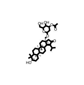 CC(=O)OC1CC(OC[C@@]23CC[C@]4(C)C(CCC5[C@@]6(C)CC[C@H](O)C(C)(C)C6CC[C@]54C)C2=C(C(C)C)C(=O)C3)OC(CO)C1O